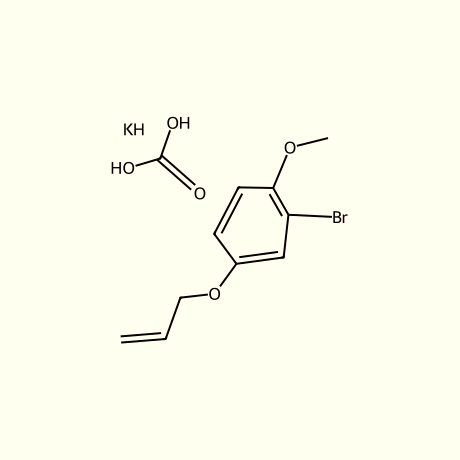 C=CCOc1ccc(OC)c(Br)c1.O=C(O)O.[KH]